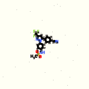 CS(=O)(=O)Nc1ccc(-n2nc(C(F)(F)F)cc2-c2ccc(C#N)cc2)cc1